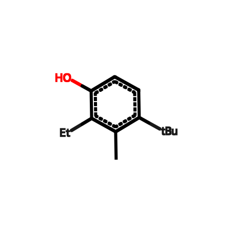 CCc1c(O)ccc(C(C)(C)C)c1C